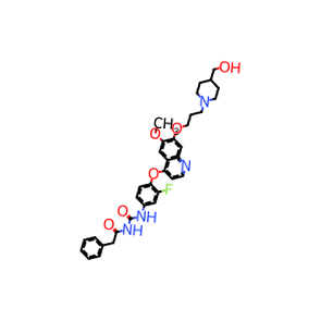 COc1cc2c(Oc3ccc(NC(=O)NC(=O)Cc4ccccc4)cc3F)ccnc2cc1OCCCN1CCC(CO)CC1